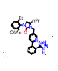 CCCc1cn(-c2c(CC)cccc2OC)c(=O)n1Cc1ccc(-c2ccccc2-c2nnn[nH]2)nc1